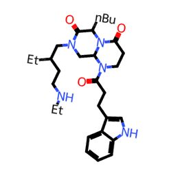 CCCCC1C(=O)N(CC(CC)CCNCC)CC2N(C(=O)CCc3c[nH]c4ccccc34)CCC(=O)N12